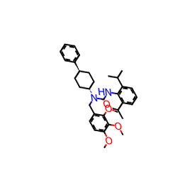 COc1ccc(CN(C(=O)Nc2c(C(C)C)cccc2C(C)C)[C@H]2CC[C@H](c3ccccc3)CC2)c(OC)c1OC